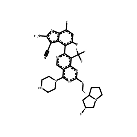 N#Cc1c(N)sc2c(F)cc(F)c(-c3ncc4c(N5CCNCC5)nc(OC[C@]56CCCN5C[C@@H](F)C6)nc4c3C(F)(F)F)c12